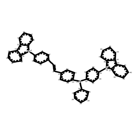 C(=C\c1ccc(-n2c3ccccc3c3ccccc32)cc1)/c1ccc(N(c2ccccc2)c2ccc(-n3c4ccccc4c4ccccc43)cc2)cc1